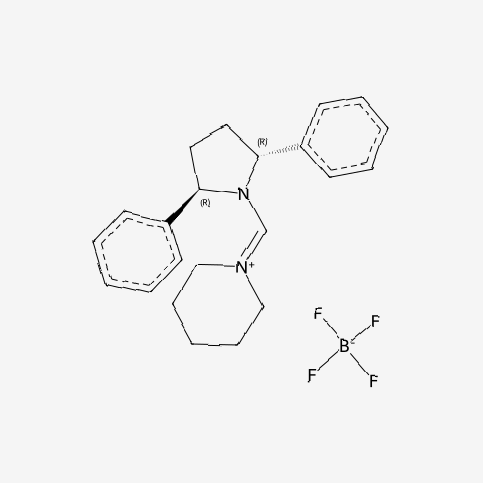 C(N1[C@@H](c2ccccc2)CC[C@@H]1c1ccccc1)=[N+]1CCCCC1.F[B-](F)(F)F